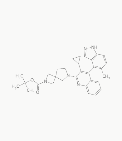 Cc1ccc2[nH]ncc2c1-c1c(C2CC2)c(N2CCC3(CN(C(=O)OC(C)(C)C)C3)C2)nc2ccccc12